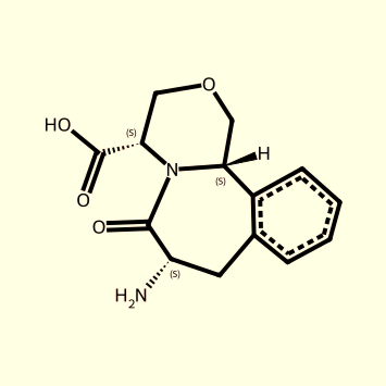 N[C@H]1Cc2ccccc2[C@H]2COC[C@@H](C(=O)O)N2C1=O